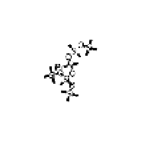 CC(C)[Si](C)(O[Si](C)(C)O[Si](C)(C)C)O[Si](C)(O[Si](C)(C)C)O[Si](C)(C)C